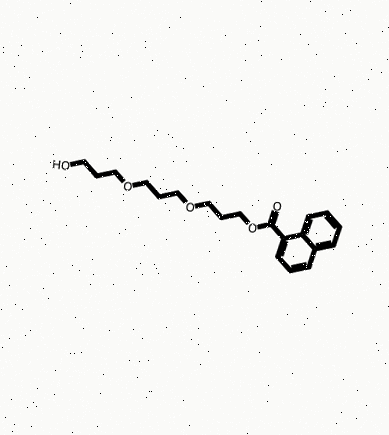 O=C(OCCCOCCCOCCCO)c1cccc2ccccc12